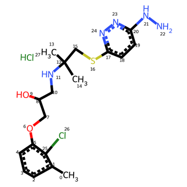 Cc1cccc(OCC(O)CNC(C)(C)CSc2ccc(NN)nn2)c1Cl.Cl